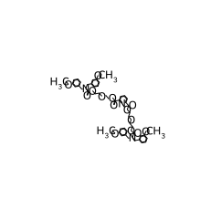 COc1cccc(CN(Cc2cccc(OC)c2)C(=O)OCCOCCOC(=O)c2cccc(C(=O)OCCOCCOC(=O)N(Cc3cccc(OC)c3)Cc3cccc(OC)c3)n2)c1